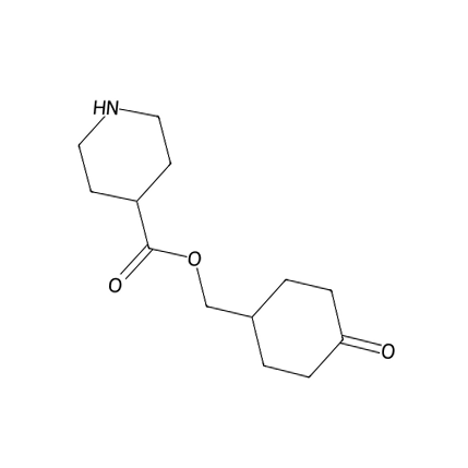 O=C1CCC(COC(=O)C2CCNCC2)CC1